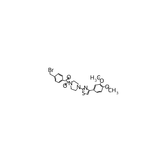 COc1ccc(-c2csc(N3CCN(S(=O)(=O)c4ccc(CBr)cc4)CC3)n2)cc1OC